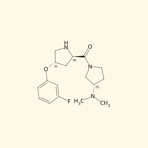 CN(C)[C@H]1CCN(C(=O)[C@H]2C[C@H](Oc3cccc(F)c3)CN2)C1